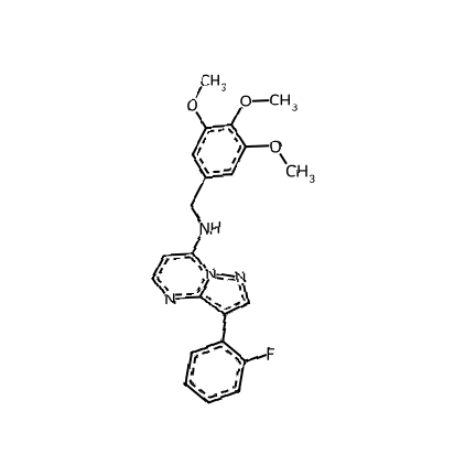 COc1cc(CNc2ccnc3c(-c4ccccc4F)cnn23)cc(OC)c1OC